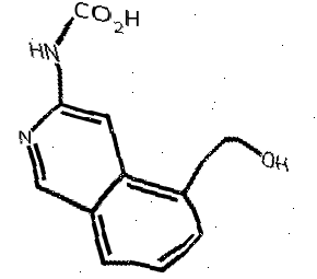 O=C(O)Nc1cc2c(CO)cccc2cn1